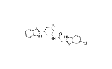 Cl.O=C(Cc1nc2cc(Cl)ccc2[nH]1)NC1CCCC(c2nc3ccccc3[nH]2)C1